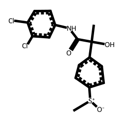 C[S+]([O-])c1ccc(C(C)(O)C(=O)Nc2ccc(Cl)c(Cl)c2)cc1